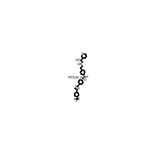 Cl.Cl.O=S(=O)(Nc1ccc(CCNC[C@@H](O)c2cccnc2)cc1)c1ccc(-c2nc(-c3ccc(C(F)(F)F)cc3)cs2)cc1